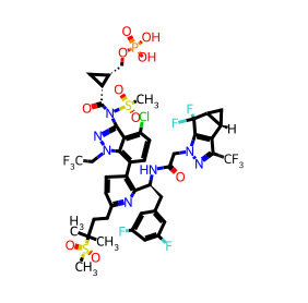 CC(C)(CCc1ccc(-c2ccc(Cl)c3c(N(C(=O)[C@@H]4C[C@@H]4COP(=O)(O)O)S(C)(=O)=O)nn(CC(F)(F)F)c23)c([C@H](Cc2cc(F)cc(F)c2)NC(=O)Cn2nc(C(F)(F)F)c3c2C(F)(F)C2C[C@H]32)n1)S(C)(=O)=O